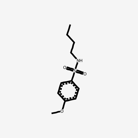 CCCCNS(=O)(=O)c1ccc(OC)cc1